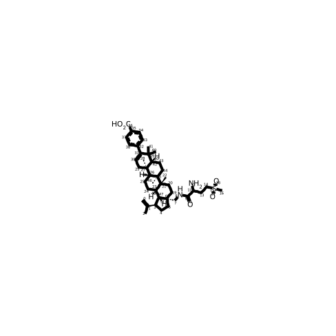 C=C(C)[C@@H]1CC[C@]2(CNC(=O)C(N)CCS(C)(=O)=O)CC[C@]3(C)[C@H](CC[C@@H]4[C@@]5(C)CC=C(c6ccc(C(=O)O)cc6)C(C)(C)[C@@H]5CC[C@]43C)[C@@H]12